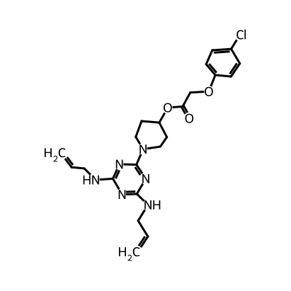 C=CCNc1nc(NCC=C)nc(N2CCC(OC(=O)COc3ccc(Cl)cc3)CC2)n1